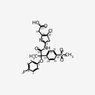 CC(Oc1ccc(F)cc1)(C(=O)Nc1nc(CC(=O)O)c(Cl)s1)c1ccc(S(C)(=O)=O)cc1